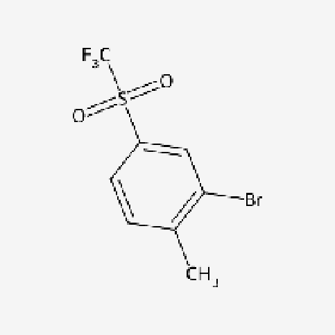 Cc1ccc(S(=O)(=O)C(F)(F)F)cc1Br